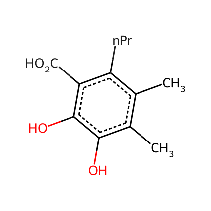 CCCc1c(C)c(C)c(O)c(O)c1C(=O)O